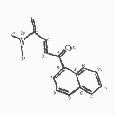 C=C(C=CC(=O)c1cccc2ccccc12)N(C)C